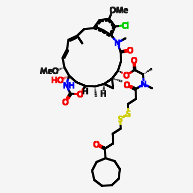 COc1cc2cc(c1Cl)N(C)C(=O)C[C@H](OC(=O)[C@H](C)N(C)C(=O)CCSSCCCC(=O)C1CCCCCCCC1)[C@@]1(C)C[C@H]1[C@H](C)[C@@H]1C[C@@](O)(NC(=O)O1)[C@H](OC)/C=C/C=C(\C)C2